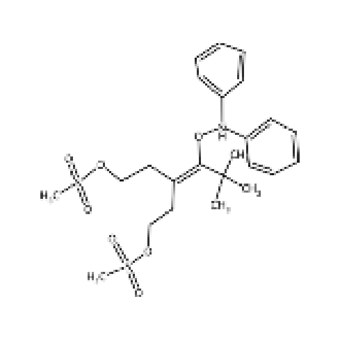 CC(C)(C)C(O[SiH](c1ccccc1)c1ccccc1)=C(CCOS(C)(=O)=O)CCOS(C)(=O)=O